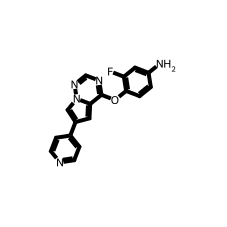 Nc1ccc(Oc2ncnn3cc(-c4ccncc4)cc23)c(F)c1